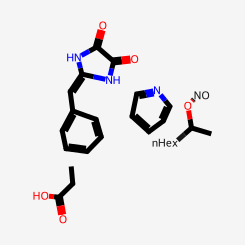 CCC(=O)O.CCCCCCC(C)ON=O.O=C1NC(=Cc2ccccc2)NC1=O.c1ccncc1